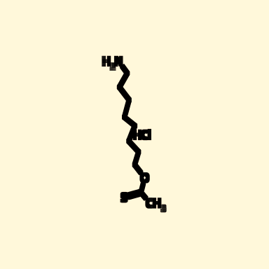 CC(=S)OCCCCCCCCN.Cl